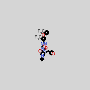 O=C1N(Cc2nc(-c3ccc(Oc4ccccc4C(F)(F)F)c(C(F)(F)F)c3)no2)C(=O)C2(CCN(C3CCC3)CC2)N1CCC1CCOCC1